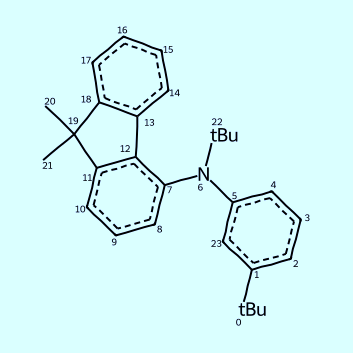 CC(C)(C)c1cccc(N(c2cccc3c2-c2ccccc2C3(C)C)C(C)(C)C)c1